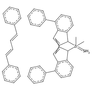 C(C=Cc1ccccc1)=Cc1ccccc1.CC1=Cc2c(-c3ccccc3)cccc2[CH]1[Zr]([CH3])([CH3])(=[SiH2])[CH]1C(C)=Cc2c(-c3ccccc3)cccc21